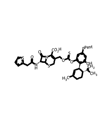 C=C(C)[C@@H]1CCC(C)=C[C@H]1c1c(O)cc(CCCCC)cc1OC(=S)OCC1=C(C(=O)O)N2C(=O)[C@@H](NC(=O)Cc3cccs3)C2SC1